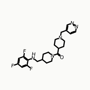 O=C(C1CCN(Cc2ccnnc2)CC1)N1CCC(CNc2c(F)cc(F)cc2F)CC1